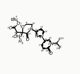 CC(C)(C)OC(=O)C(O)C1(C)OCCN(c2ccn(-c3ccc(=O)n(C(F)F)c3)n2)C1=O